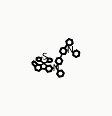 c1ccc(N(c2ccc(-c3ccc4c5ccccc5n(-c5ccccc5)c4c3)cc2)c2ccc3c(c2)C2(c4ccccc4Sc4ccccc42)c2c-3ccc3ccccc23)cc1